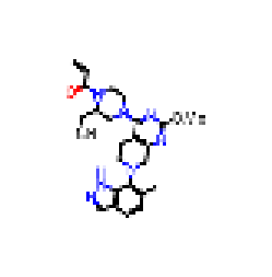 C=CC(=O)N1CCN(c2nc(OC)nc3c2CCN(c2c(C)ccc4cn[nH]c24)C3)CC1CC#N